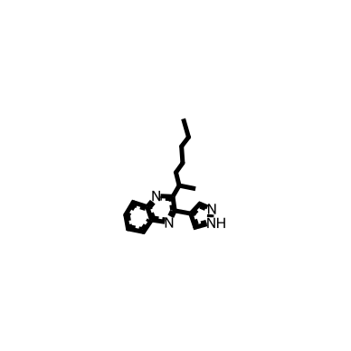 CCCCCC(C)c1nc2ccccc2nc1-c1cn[nH]c1